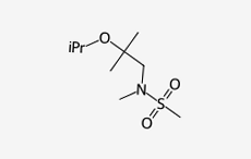 CC(C)OC(C)(C)CN(C)S(C)(=O)=O